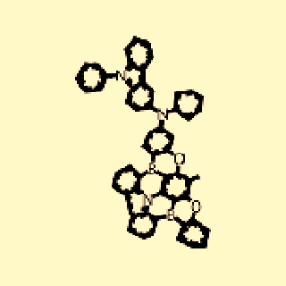 Cc1c2c3c4c5c1Oc1cc(N(c6ccccc6)c6ccc7c(c6)c6ccccc6n7-c6ccccc6)ccc1B5c1cccc5c6cccc(c6n-4c15)B3c1ccccc1O2